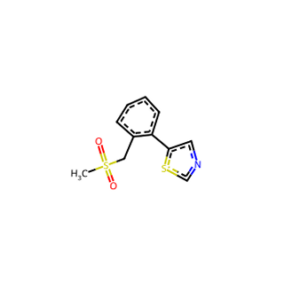 CS(=O)(=O)Cc1ccccc1-c1cncs1